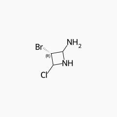 NC1NC(Cl)[C@@H]1Br